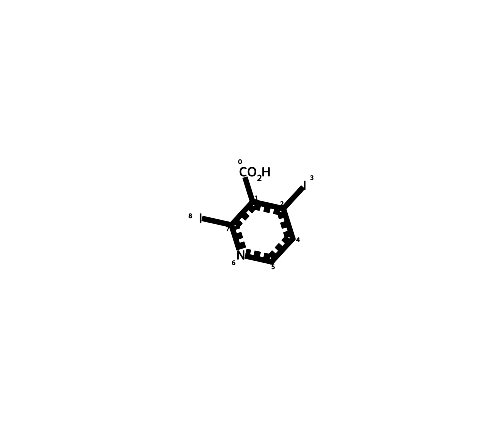 O=C(O)c1c(I)ccnc1I